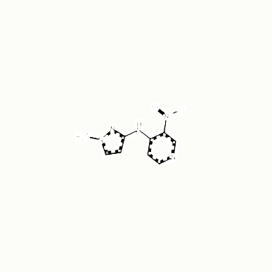 Cn1ccc(Nc2ccncc2[N+](=O)[O-])n1